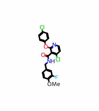 COc1ccc(CNC(=O)c2c(Cl)ccnc2Oc2ccc(Cl)cc2)cc1F